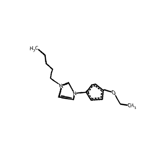 CCCCCN1C=CN(c2ccc(OCC)cc2)C1